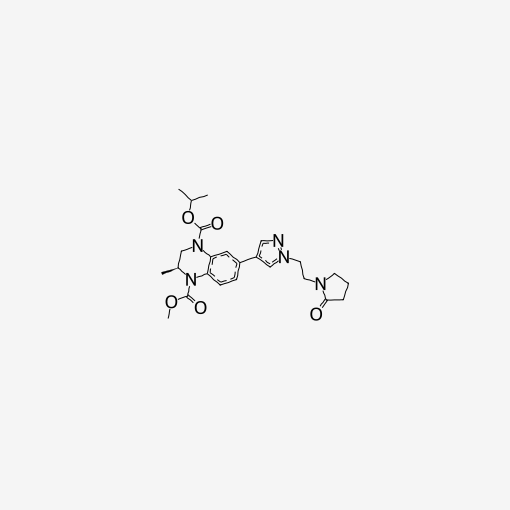 COC(=O)N1c2ccc(-c3cnn(CCN4CCCC4=O)c3)cc2N(C(=O)OC(C)C)C[C@@H]1C